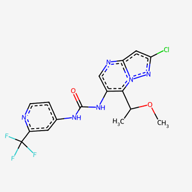 COC(C)c1c(NC(=O)Nc2ccnc(C(F)(F)F)c2)cnc2cc(Cl)nn12